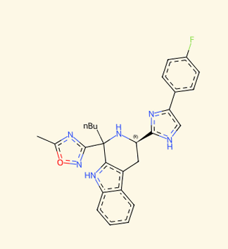 CCCCC1(c2noc(C)n2)N[C@@H](c2nc(-c3ccc(F)cc3)c[nH]2)Cc2c1[nH]c1ccccc21